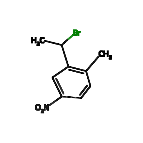 Cc1ccc([N+](=O)[O-])cc1C(C)Br